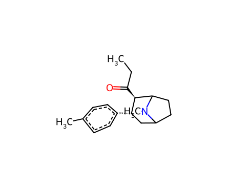 CCC(=O)[C@H]1C2CCC(C[C@@H]1c1ccc(C)cc1)N2C